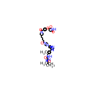 Cc1cc(-c2ncnn3cc(N4CCN(C(=O)CCCCC5CCN(C(=O)c6ccc(OC7CCC(=O)NC7=O)cc6)CC5)CC4)cc23)ccc1CNC(=O)c1noc(C(C)(C)C)n1